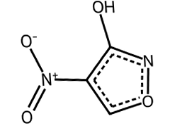 O=[N+]([O-])c1conc1O